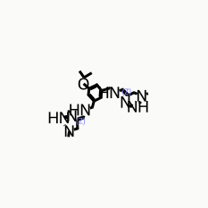 CC(C)Oc1cc(CN/C=C(/CN(C)C)N=N)cc(CN/C=C(/CN(C)C)N=N)c1